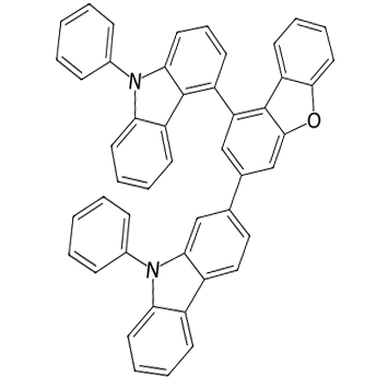 c1ccc(-n2c3ccccc3c3ccc(-c4cc(-c5cccc6c5c5ccccc5n6-c5ccccc5)c5c(c4)oc4ccccc45)cc32)cc1